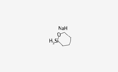 C1CC[SiH2]OC1.[NaH]